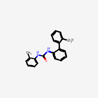 Cc1ccccc1NC(=O)Nc1ccccc1-c1ccccc1S(=O)(=O)O